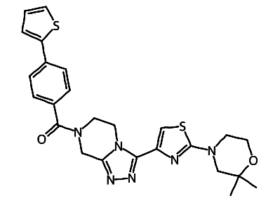 CC1(C)CN(c2nc(-c3nnc4n3CCN(C(=O)c3ccc(-c5cccs5)cc3)C4)cs2)CCO1